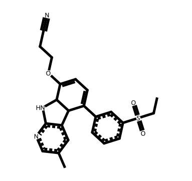 CCS(=O)(=O)c1cccc(C2=CC=C(OCCC#N)C3Nc4ncc(C)cc4C23)c1